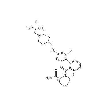 CC(C)(F)CN1CCC(COc2ccc(-c3cccc(F)c3C(=O)N3CCCC[C@H]3C(N)=O)c(F)c2)CC1